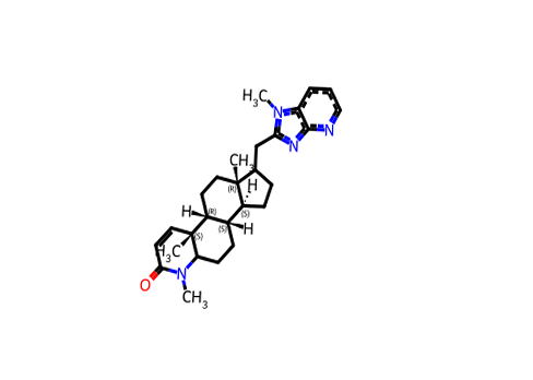 CN1C(=O)C=C[C@@]2(C)C1CC[C@@H]1[C@H]2CC[C@]2(C)C(Cc3nc4ncccc4n3C)CC[C@@H]12